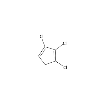 ClC1=[C]CC(Cl)=C1Cl